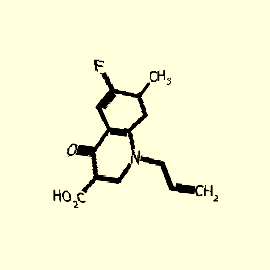 C=CCN1CC(C(=O)O)C(=O)C2=C1CC(C)C(F)=C2